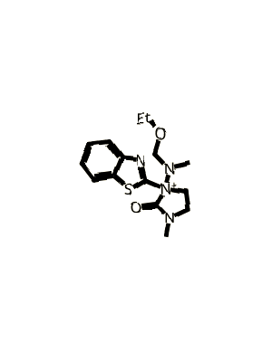 CCOCN(C)[N+]1(c2nc3ccccc3s2)CCN(C)C1=O